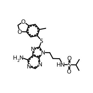 Cc1cc2c(cc1Sc1nc3c(N)ncnc3n1CCCNS(=O)(=O)C(C)C)OCO2